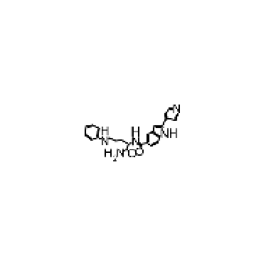 NC(=O)C(CCCNc1ccccc1)NC(=O)c1ccc2[nH]c(-c3ccncc3)cc2c1